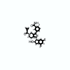 NC(=O)c1cccc(-c2nn([C@@H]3c4cc(F)cc(F)c4C[C@H]3O)c3c2CN(C(=O)C2CC2)CC3)c1